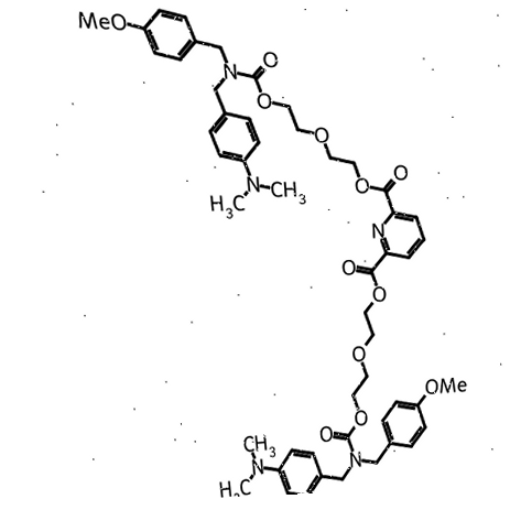 COc1ccc(CN(Cc2ccc(N(C)C)cc2)C(=O)OCCOCCOC(=O)c2cccc(C(=O)OCCOCCOC(=O)N(Cc3ccc(OC)cc3)Cc3ccc(N(C)C)cc3)n2)cc1